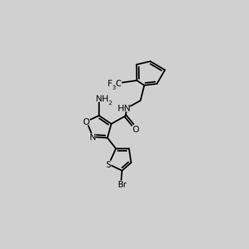 Nc1onc(-c2ccc(Br)s2)c1C(=O)NCc1ccccc1C(F)(F)F